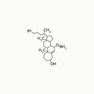 BOC1C=C2CC(O)CCCC2(C)C2CCC3(C)C(C(C)CCCC(C)C)CCC3C12